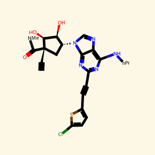 C#C[C@]1(C(=O)NC)C[C@@H](n2cnc3c(NCCC)nc(C#Cc4ccc(Cl)s4)nc32)[C@H](O)[C@@H]1O